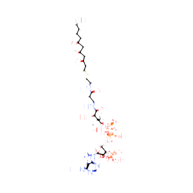 CCCCCC(=O)CC(=O)CC(=O)CCSCCNC(=O)CCNC(=O)C(O)C(C)(C)COP(=O)(O)OP(=O)(O)OC[C@H]1O[C@@H](n2cnc3c(N)ncnc32)[C@H](O)[C@@H]1OP(=O)(O)O